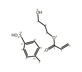 C=CC(=O)OCCCO.Cc1ccc(S(=O)(=O)O)cc1